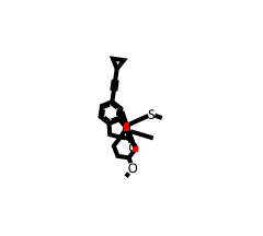 COC1CCC2(CC1)Cc1ccc(C#CC3CC3)cc1C21N=C(SC)N(C)C1=O